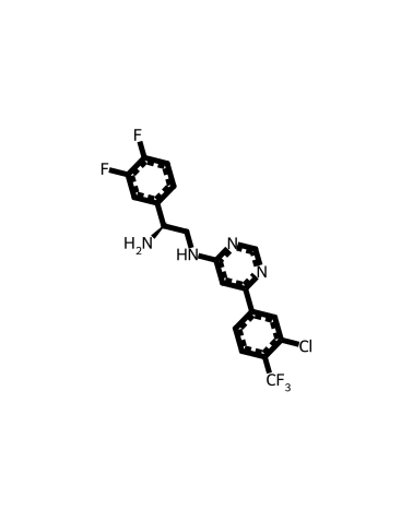 N[C@H](CNc1cc(-c2ccc(C(F)(F)F)c(Cl)c2)ncn1)c1ccc(F)c(F)c1